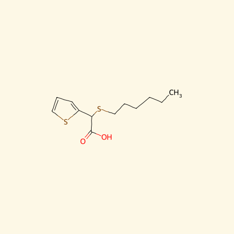 CCCCCCSC(C(=O)O)c1cccs1